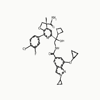 C[C@]1(C(N)=O)COc2c1cc(C(O)(CNC(=O)c1cc(OC3CC3)c3nn(C4CC4)cc3c1)C1CCC1)nc2-c1ccc(Cl)c(F)c1